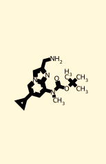 CN(C(=O)OC(C)(C)C)c1cc(C2CC2)cn2cc(CN)nc12